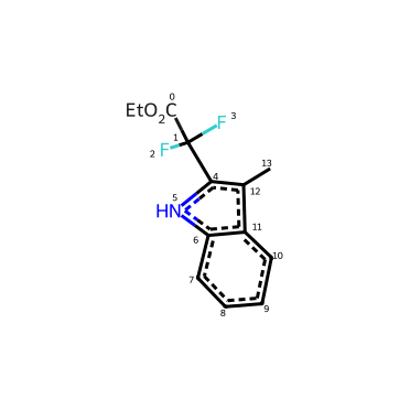 CCOC(=O)C(F)(F)c1[nH]c2ccccc2c1C